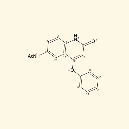 CC(=O)Nc1ccc2[nH]c(=O)cc(Oc3ccccc3)c2c1